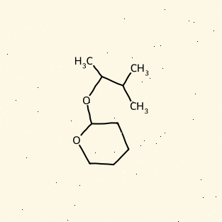 CC(C)C(C)OC1CCCCO1